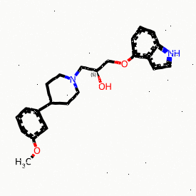 COc1cccc(C2CCN(C[C@H](O)COc3cccc4[nH]ccc34)CC2)c1